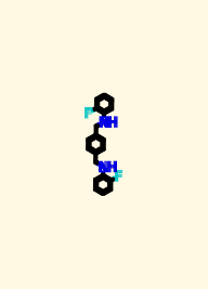 Fc1ccccc1NCc1ccc(CNc2ccccc2F)cc1